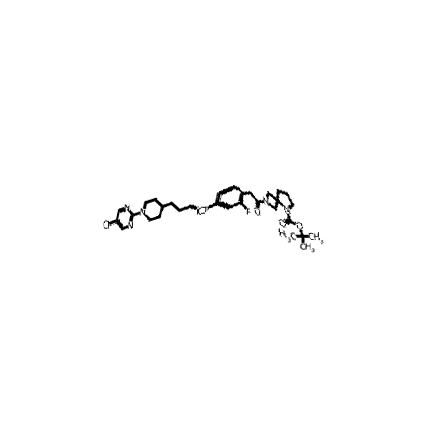 CC(C)(C)OC(=O)N1CCCC12CN(C(=O)Cc1ccc(OCCCC3CCN(c4ncc(Cl)cn4)CC3)cc1F)C2